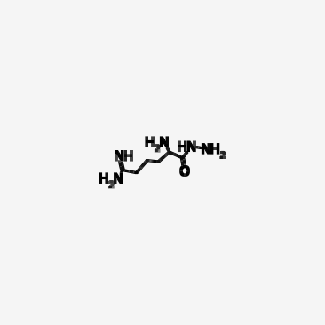 N=C(N)CCCC(N)C(=O)NN